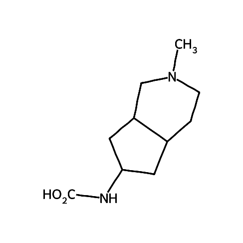 CN1CCC2CC(NC(=O)O)CC2C1